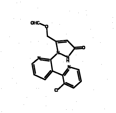 O=COCc1cc(=O)[nH]n1-c1ncccc1-c1ncccc1Cl